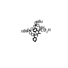 CCCCOC(=O)Oc1ccc(C(C(C)C(C)OC(=O)c2ccccc2)[C@H](N)C(=O)O)cc1OC(=O)OCCCC